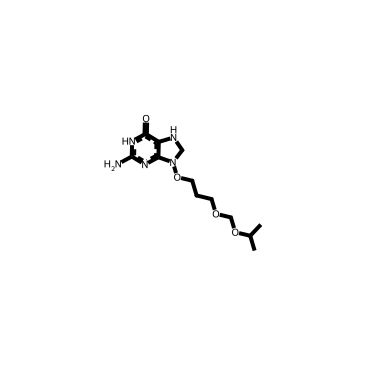 CC(C)OCOCCCON1CNc2c1nc(N)[nH]c2=O